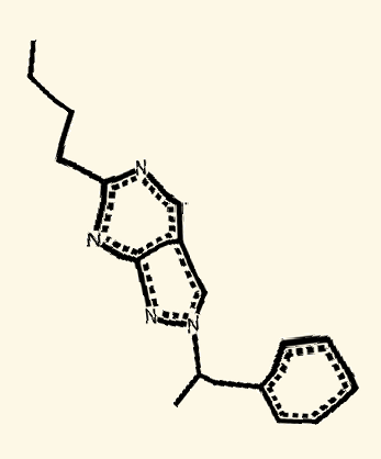 CCCCc1n[c]c2cn(C(C)c3ccccc3)nc2n1